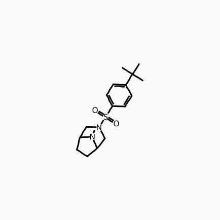 CN1C2CCC1CN(S(=O)(=O)c1ccc(C(C)(C)C)cc1)C2